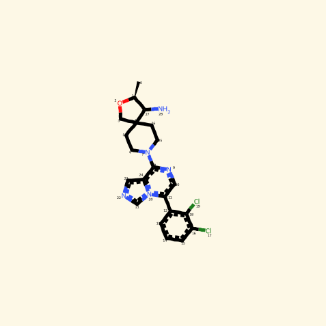 C[C@@H]1OCC2(CCN(c3ncc(-c4cccc(Cl)c4Cl)n4cncc34)CC2)C1N